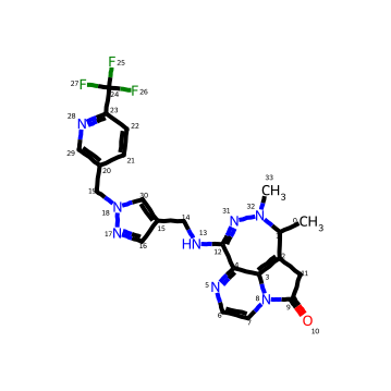 CC1C2=C3C(=NC=CN3C(=O)C2)C(NCc2cnn(Cc3ccc(C(F)(F)F)nc3)c2)=NN1C